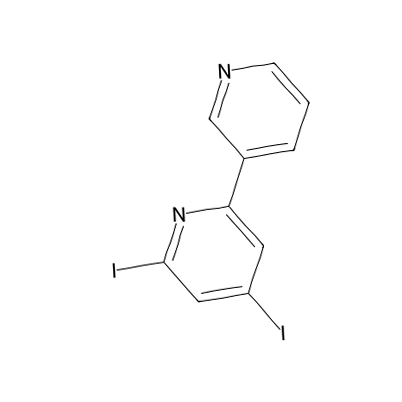 Ic1cc(I)nc(-c2cccnc2)c1